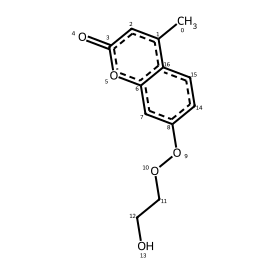 Cc1cc(=O)oc2cc(OOCCO)ccc12